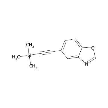 C[Si](C)(C)C#Cc1ccc2ocnc2c1